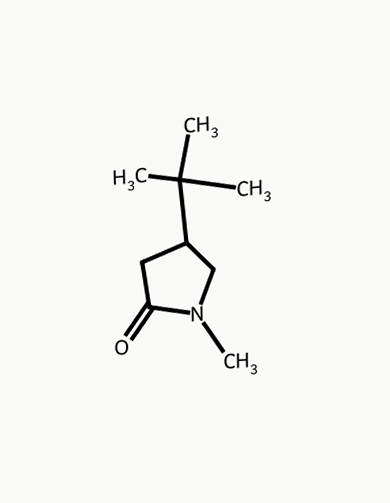 CN1CC(C(C)(C)C)CC1=O